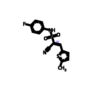 Cc1ccc(/C=C(\C#N)S(=O)(=O)Nc2ccc(F)cc2)s1